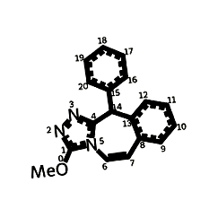 COc1nnc2n1C=Cc1ccccc1C2c1ccccc1